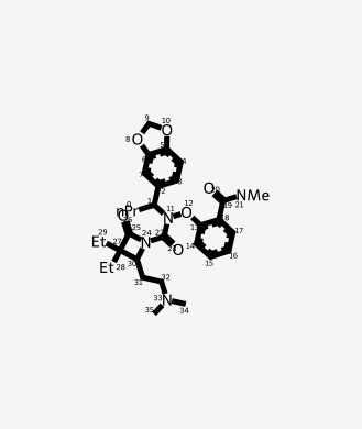 CCCC(c1ccc2c(c1)OCO2)N(Oc1ccccc1C(=O)NC)C(=O)N1C(=O)C(CC)(CC)C1CCN(C)C